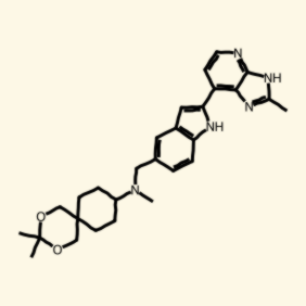 Cc1nc2c(-c3cc4cc(CN(C)C5CCC6(CC5)COC(C)(C)OC6)ccc4[nH]3)ccnc2[nH]1